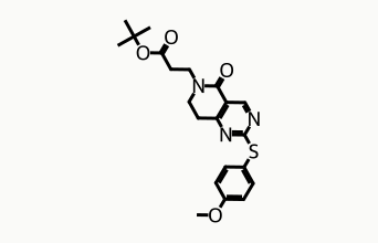 COc1ccc(Sc2ncc3c(n2)CCN(CCC(=O)OC(C)(C)C)C3=O)cc1